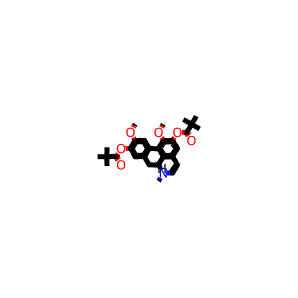 COc1cc2c(cc1OC(=O)C(C)(C)C)C[C@H]1c3c(cc(OC(=O)C(C)(C)C)c(OC)c3-2)C=CN1C